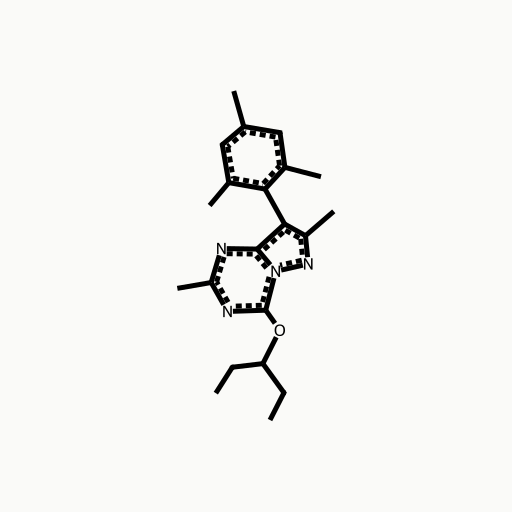 CCC(CC)Oc1nc(C)nc2c(-c3c(C)cc(C)cc3C)c(C)nn12